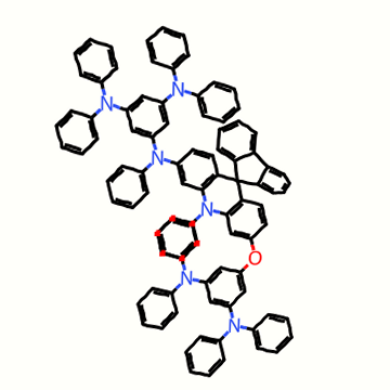 c1ccc(N(c2ccccc2)c2cc(Oc3ccc4c(c3)N(c3ccccc3)c3cc(N(c5ccccc5)c5cc(N(c6ccccc6)c6ccccc6)cc(N(c6ccccc6)c6ccccc6)c5)ccc3C43c4ccccc4-c4ccccc43)cc(N(c3ccccc3)c3ccccc3)c2)cc1